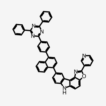 c1ccc(-c2nc(-c3ccccc3)nc(-c3ccc(-c4ccc(-c5ccc6[nH]c7ccc8oc(-c9cccnc9)nc8c7c6c5)c5ccccc45)cc3)n2)cc1